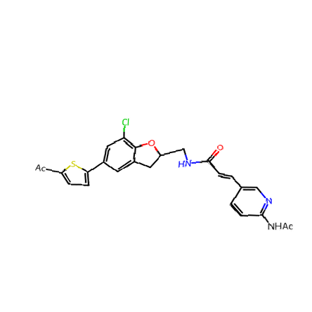 CC(=O)Nc1ccc(C=CC(=O)NCC2Cc3cc(-c4ccc(C(C)=O)s4)cc(Cl)c3O2)cn1